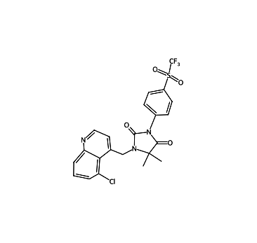 CC1(C)C(=O)N(c2ccc(S(=O)(=O)C(F)(F)F)cc2)C(=O)N1Cc1ccnc2cccc(Cl)c12